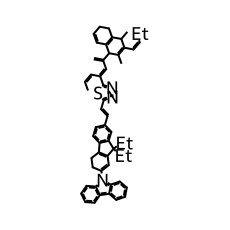 C=C(/C=C(\C=C/C)c1nnc(/C=C/c2ccc3c(c2)C(CC)(CC)C2=C3CCC(n3c4ccccc4c4ccccc43)=C2)s1)C1C(C)=C(/C=C\CC)C(C)C2=C1C=CCC2